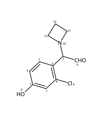 O=CC(c1ccc(O)cc1Cl)N1CCC1